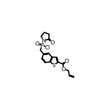 C=CCOC(=O)c1cc2cc(CP(=O)(Cl)N3CCCC3=O)ccc2s1